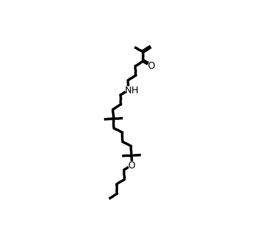 C=C(C)C(=O)CCCNCCCC(C)(C)CCCCC(C)(C)OCCCCC